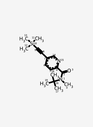 CN(C(=O)c1ccc(C#C[Si](C)(C)C)cn1)C(C)(C)C